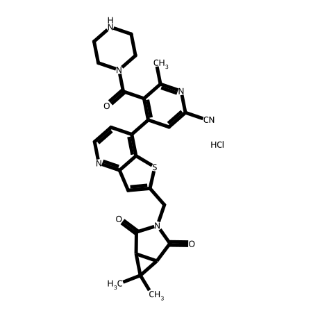 Cc1nc(C#N)cc(-c2ccnc3cc(CN4C(=O)C5C(C4=O)C5(C)C)sc23)c1C(=O)N1CCNCC1.Cl